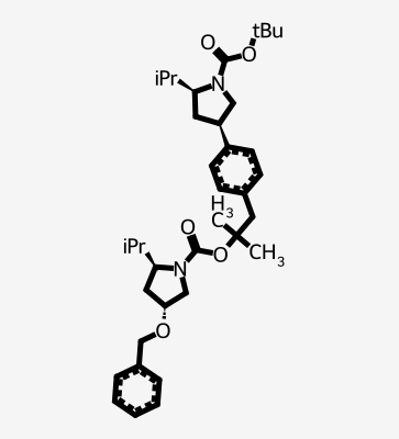 CC(C)[C@@H]1C[C@H](c2ccc(CC(C)(C)OC(=O)N3C[C@H](OCc4ccccc4)C[C@H]3C(C)C)cc2)CN1C(=O)OC(C)(C)C